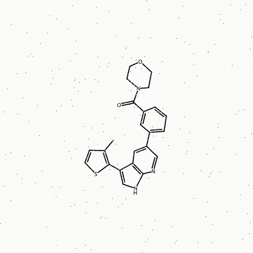 Cc1ccsc1-c1c[nH]c2ncc(-c3cccc(C(=O)N4CCOCC4)c3)cc12